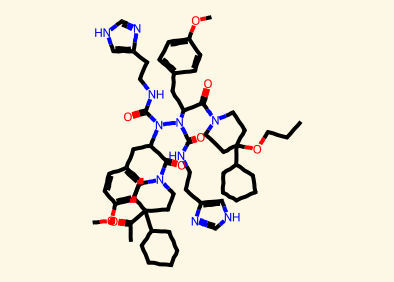 CCCOC1(C2CCCCC2)CCN(C(=O)C(Cc2ccc(OC)cc2)N(C(=O)NCCc2c[nH]cn2)N(C(=O)NCCc2c[nH]cn2)C(Cc2ccc(OC)cc2)C(=O)N2CCC(C(C)=O)(C3CCCCC3)CC2)CC1